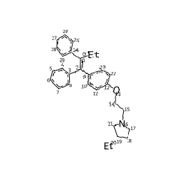 CC/C(=C(/c1ccccc1)c1ccc(OCCN2CC[C@H](CC)C2)cc1)c1ccccc1